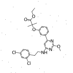 CCOC(=O)C(C)(C)Oc1cccc(-c2cc(NCCc3ccc(Cl)cc3Cl)nc(OC)n2)c1